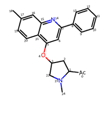 CC(=O)C1CC(Oc2cc(-c3ccccc3)nc3cc(C)ccc23)CN1C